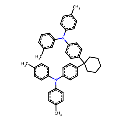 Cc1ccc(N(c2ccc(C)cc2)c2ccc(C3(c4ccc(N(c5ccc(C)cc5)c5cccc(C)c5)cc4)CCCCC3)cc2)cc1